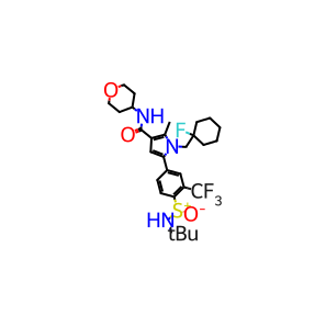 Cc1c(C(=O)NC2CCOCC2)cc(-c2ccc([S+]([O-])NC(C)(C)C)c(C(F)(F)F)c2)n1CC1(F)CCCCC1